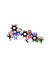 CCOc1cc(NC(=O)[C@@H](NC(=O)OC(C)(C)C)c2ccccc2)ccc1S(=O)(=O)Nc1cccc(OC(F)(F)F)c1